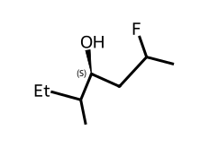 CCC(C)[C@@H](O)CC(C)F